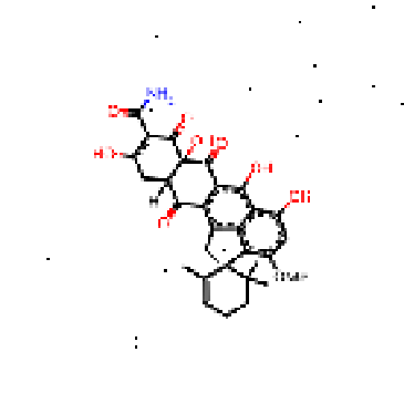 COc1cc(O)c2c(O)c3c(c4c2c1[C@]1(C4)C(C)=CCCC1(C)C)C(=O)[C@@H]1CC(O)=C(C(N)=O)C(=O)[C@]1(O)C3=O